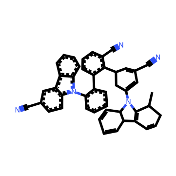 CC1CC=CC2=C1N(C1=CC(C#N)=CC(c3c(C#N)cccc3-c3ccccc3-n3c4ccccc4c4cc(C#N)ccc43)C1)C1C=CC=CC21